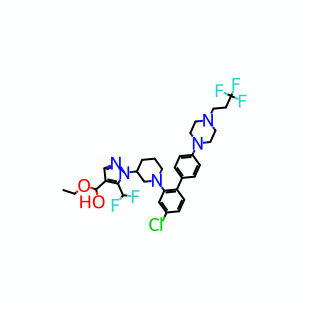 CCOC(O)c1cnn(C2CCCN(c3cc(Cl)ccc3-c3ccc(N4CCN(CCC(F)(F)F)CC4)cc3)C2)c1C(F)F